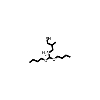 CCCCOC(OCCCC)[SiH2]CC(C)CS